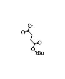 CC(C)(C)OC(=O)CCC([O])=O